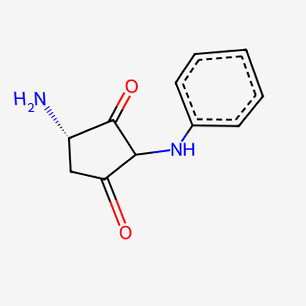 N[C@H]1CC(=O)C(Nc2ccccc2)C1=O